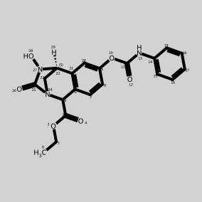 CCOC(=O)C1c2ccc(OC(=O)Nc3ccccc3)cc2[C@H]2CN1C(=O)N2O